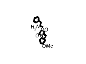 COc1ccc2c(c1)cc1n2C(=O)CN(C[C@@H](N)Cc2ccccc2)C1=O